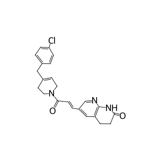 O=C1CCc2cc(C=CC(=O)N3CC=C(Cc4ccc(Cl)cc4)CC3)cnc2N1